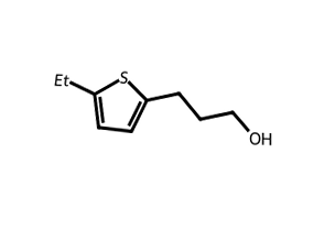 CCc1ccc(CCCO)s1